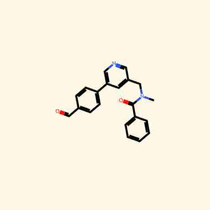 CN(Cc1cncc(-c2ccc(C=O)cc2)c1)C(=O)c1ccccc1